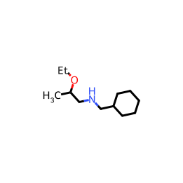 CCOC(C)CNCC1CCCCC1